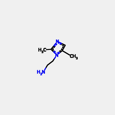 Cc1cnc(C)n1CCN